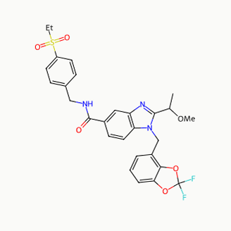 CCS(=O)(=O)c1ccc(CNC(=O)c2ccc3c(c2)nc(C(C)OC)n3Cc2cccc3c2OC(F)(F)O3)cc1